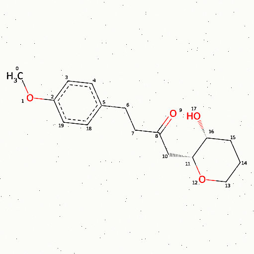 COc1ccc(CCC(=O)C[C@H]2OCCC[C@H]2O)cc1